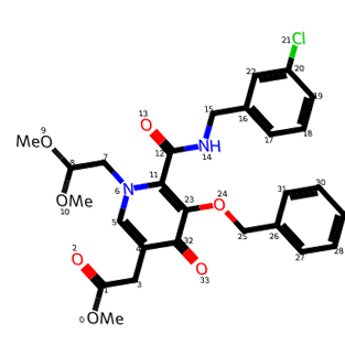 COC(=O)Cc1cn(CC(OC)OC)c(C(=O)NCc2cccc(Cl)c2)c(OCc2ccccc2)c1=O